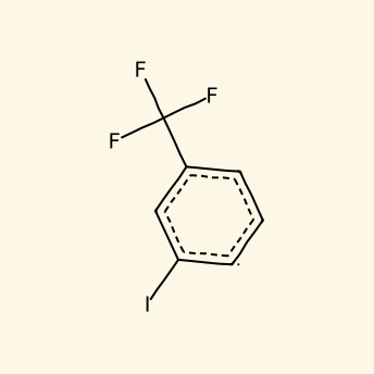 FC(F)(F)c1cc[c]c(I)c1